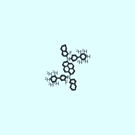 [2H]c1c([2H])c([2H])c(-c2ccc(N(C3=CC=C4C=CC5=C(N(c6ccc7ccccc7c6)c6ccc(-c7c([2H])c([2H])c([2H])c([2H])c7[2H])cc6F)C=CC6=CC=C3C4C65)c3ccc4ccccc4c3)c(F)c2)c([2H])c1[2H]